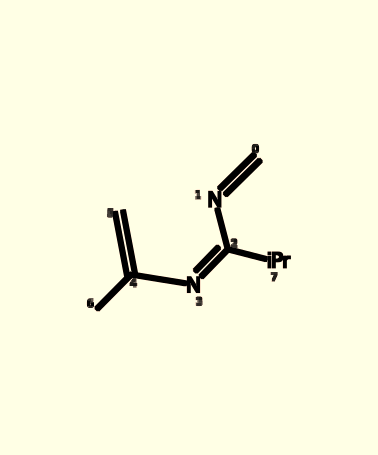 C=N/C(=N\C(=C)C)C(C)C